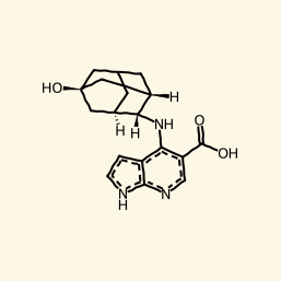 O=C(O)c1cnc2[nH]ccc2c1N[C@@H]1[C@@H]2CC3C[C@H]1C[C@@](O)(C3)C2